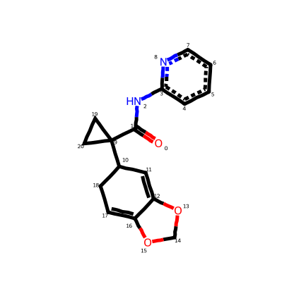 O=C(Nc1ccccn1)C1(C2C=C3OCOC3=CC2)CC1